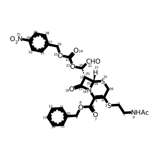 CC(=O)NCCSC1=C(C(=O)OCc2ccccc2)N2C(=O)[C@H](C(C=O)OC(=O)OCc3ccc([N+](=O)[O-])cc3)[C@@H]2SC1